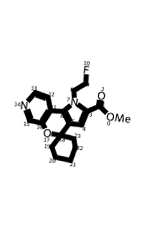 COC(=O)c1cc2c(n1CCF)-c1ccncc1OC21CCCCC1